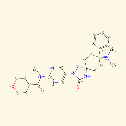 CN(C(=O)C1CCOCC1)C1=NC=C(N2C[C@]3(CC[C@](c4ccccc4)(N(C)C)CC3)NC2=O)CN1